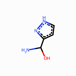 NC(O)c1cc[nH]n1